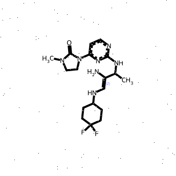 CC(Nc1nccc(N2CCN(C)C2=O)n1)/C(N)=C/NC1CCC(F)(F)CC1